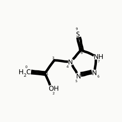 C=C(O)Cn1nn[nH]c1=S